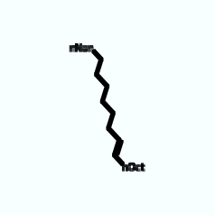 [CH2]CCCCCCCC=CCCCCCCCCCCCCCC[CH2]